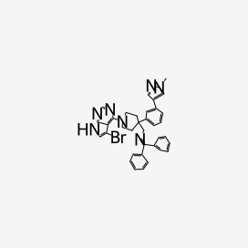 Cn1cc(-c2cccc(C3(CN=C(c4ccccc4)c4ccccc4)CCN(c4ncnc5[nH]cc(Br)c45)CC3)c2)cn1